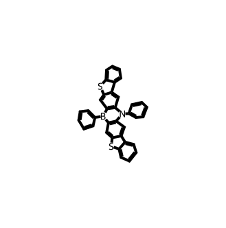 c1ccc(B2c3cc4sc5ccccc5c4cc3N(c3ccccc3)c3cc4c(cc32)sc2ccccc24)cc1